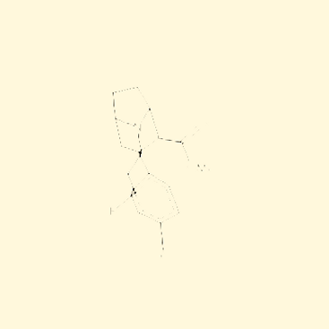 COC(=O)C1C(c2ccc(C)cc2)CC2CCC1N2CCCF